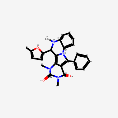 Cc1ccc(C2c3c4c(c(-c5ccccc5)n3-c3ccccc3N2N=O)c(=O)n(C)c(=O)n4C)o1